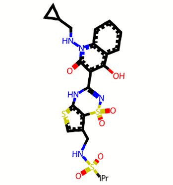 CC(C)S(=O)(=O)NCc1csc2c1S(=O)(=O)N=C(c1c(O)c3ccccc3n(NCC3CC3)c1=O)N2